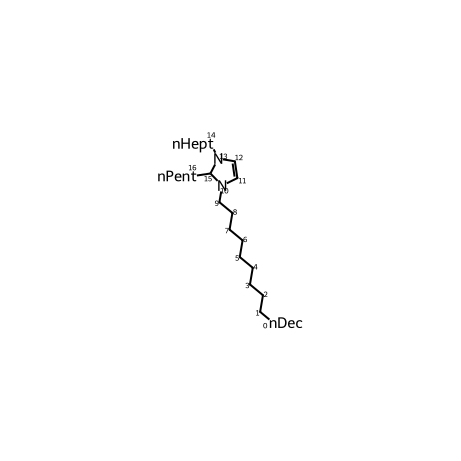 CCCCCCCCCCCCCCCCCCCN1C=CN(CCCCCCC)C1CCCCC